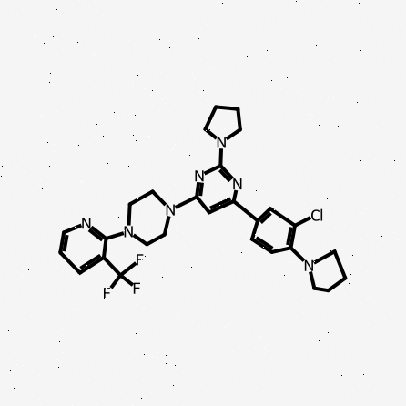 FC(F)(F)c1cccnc1N1CCN(c2cc(-c3ccc(N4CCCC4)c(Cl)c3)nc(N3CCCC3)n2)CC1